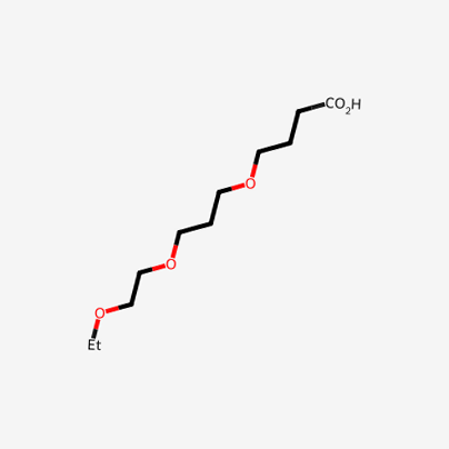 CCOCCOCCCOCCCC(=O)O